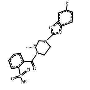 CCCS(=O)(=O)c1ccccc1C(=O)N1CCN(c2nc3ccc(F)cc3o2)C[C@H]1C